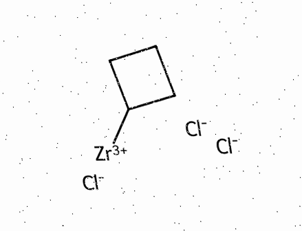 [Cl-].[Cl-].[Cl-].[Zr+3][CH]1CCC1